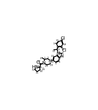 CC1CN(c2ccc3ncn(C(C)c4ccc(Cl)cc4Cl)c3c2)CCN1C(=O)[C@@]1(C)CCCN1